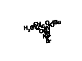 CC(=O)[C@@H](NC(=O)OC(C)(C)C)[C@H](OCCN(C)C)c1nc(Br)cs1